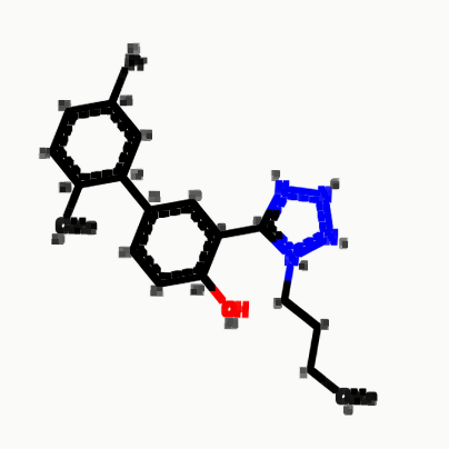 COCCCn1nnnc1-c1cc(-c2cc(C(C)C)ccc2OC)ccc1O